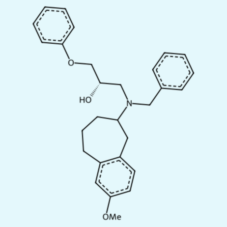 COc1ccc2c(c1)CCCC(N(Cc1ccccc1)C[C@H](O)COc1ccccc1)C2